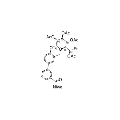 CC[C@H](OC(C)=O)[C@H]1O[C@H](Oc2ccc(-c3cccc(C(=O)NC)c3)cc2C)[C@@H](OC(C)=O)[C@@H](OC(C)=O)[C@@H]1OC(C)=O